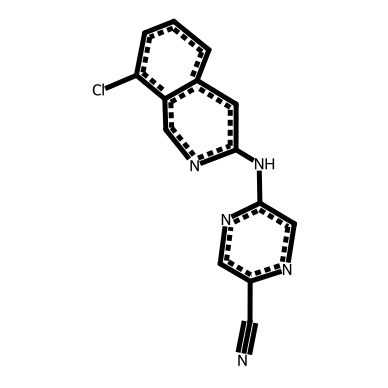 N#Cc1cnc(Nc2cc3cccc(Cl)c3cn2)cn1